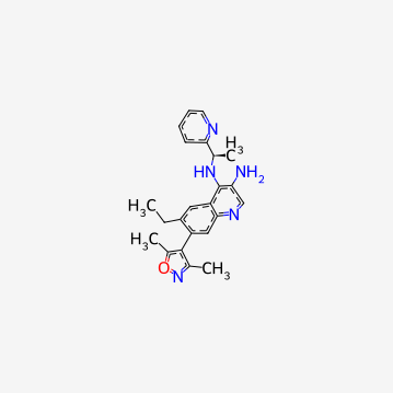 CCc1cc2c(N[C@H](C)c3ccccn3)c(N)cnc2cc1-c1c(C)noc1C